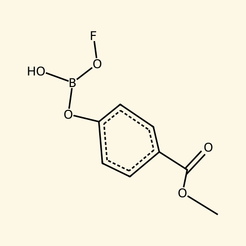 COC(=O)c1ccc(OB(O)OF)cc1